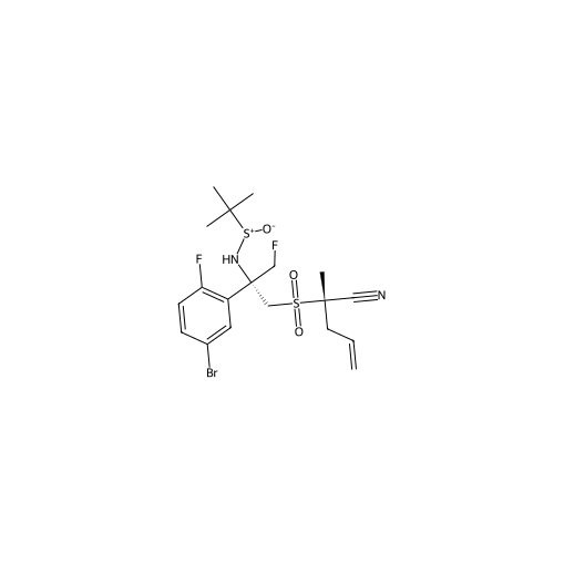 C=CC[C@@](C)(C#N)S(=O)(=O)C[C@@](CF)(N[S+]([O-])C(C)(C)C)c1cc(Br)ccc1F